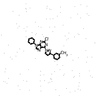 Cc1cccc(-c2ccn(-c3nc(Cl)nc4c3ncn4-c3ccccc3)n2)c1